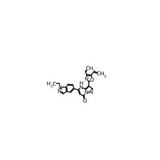 C=Cc1nc(-c2cnn3c(=O)cc(-c4ccc5c(cnn5CC)c4)[nH]c23)oc1C=C